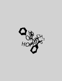 CN(C(=S)c1ccccc1)N(PO)[PH](=O)Oc1ccccc1